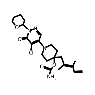 C=C/C(C)=C(\C)CC1(OC(N)=O)CCN(c2cnn(C3CCCCO3)c(=O)c2Cl)CC1